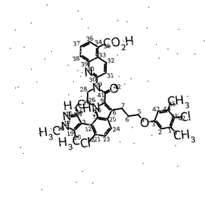 Cc1cc(OCCCc2c3n(c4c(-c5c(C)nn(C)c5C)c(Cl)ccc24)[C@H](C)CN(c2ccc4c(C(=O)O)cccc4n2)C3=O)cc(C)c1Cl